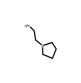 [CH2]CCCCN1CCCC1